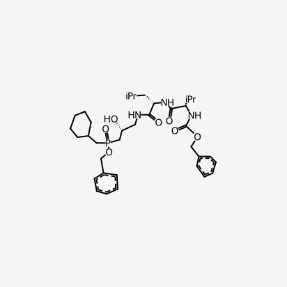 CC(C)C[C@H](NC(=O)[C@@H](NC(=O)OCc1ccccc1)C(C)C)C(=O)NC[C@@H](O)CP(=O)(CC1CCCCC1)OCc1ccccc1